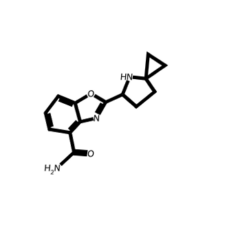 NC(=O)c1cccc2oc(C3CCC4(CC4)N3)nc12